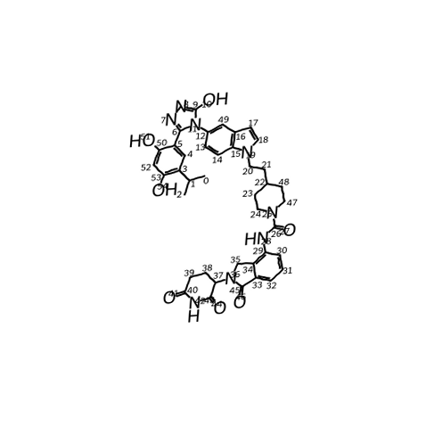 CC(C)c1cc(-c2nnc(O)n2-c2ccc3c(ccn3CCC3CCN(C(=O)Nc4cccc5c4CN(C4CCC(=O)NC4=O)C5=O)CC3)c2)c(O)cc1O